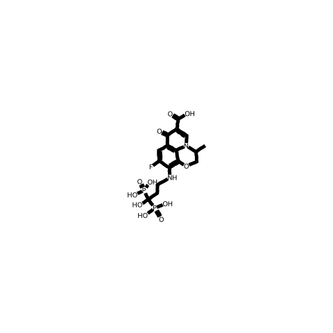 CC1COc2c(NCCC(O)(P(=O)(O)O)P(=O)(O)O)c(F)cc3c(=O)c(C(=O)O)cn1c23